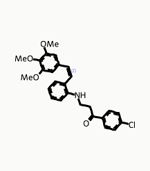 COc1cc(/C=C\c2ccccc2NCCC(=O)c2ccc(Cl)cc2)cc(OC)c1OC